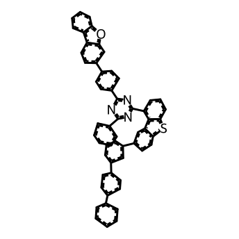 c1ccc(-c2ccc(-c3cccc(-c4ccc5sc6cccc(-c7nc(-c8ccccc8)nc(-c8ccc(-c9ccc%10c(c9)oc9ccccc9%10)cc8)n7)c6c5c4)c3)cc2)cc1